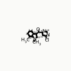 Cc1cccc2c(C(=O)c3cc(Cl)ncn3)cn(C)c12